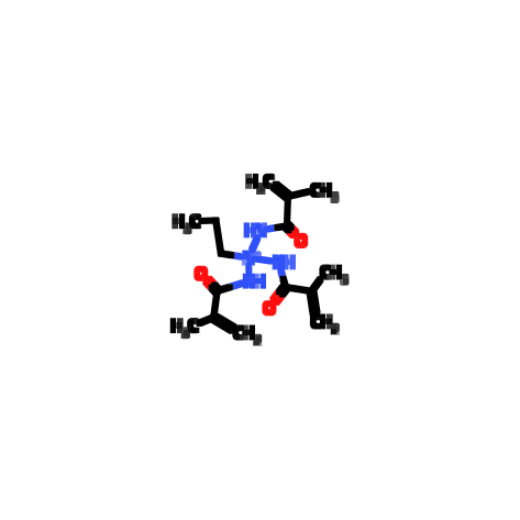 C=C(C)C(=O)N[N+](CCC)(NC(=O)C(=C)C)NC(=O)C(=C)C